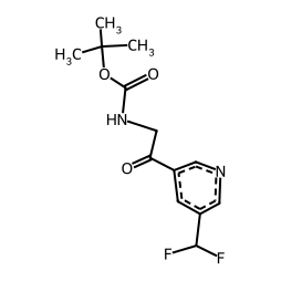 CC(C)(C)OC(=O)NCC(=O)c1cncc(C(F)F)c1